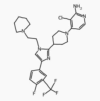 Nc1nccc(N2CCC(c3nc(-c4ccc(F)c(C(F)(F)F)c4)cn3CCN3CCCCC3)CC2)c1Cl